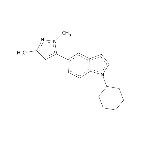 Cc1cc(-c2ccc3c(ccn3C3CCCCC3)c2)n(C)n1